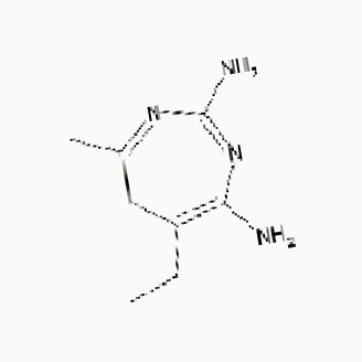 CCC1=C(N)N=C(N)N=C(C)C1